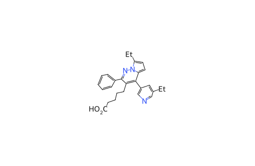 CCc1cncc(-c2c(CCCCC(=O)O)c(-c3ccccc3)nn3c(CC)ccc23)c1